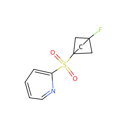 O=S(=O)(c1ccccn1)C12CC(F)(C1)C2